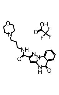 O=C(NCCCN1CCOCC1)c1cc2[nH]c(=O)c3ccccc3n2n1.O=C(O)C(F)(F)F